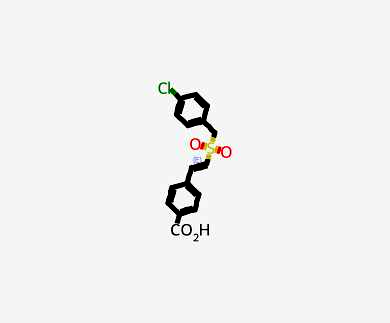 O=C(O)c1ccc(/C=C/S(=O)(=O)Cc2ccc(Cl)cc2)cc1